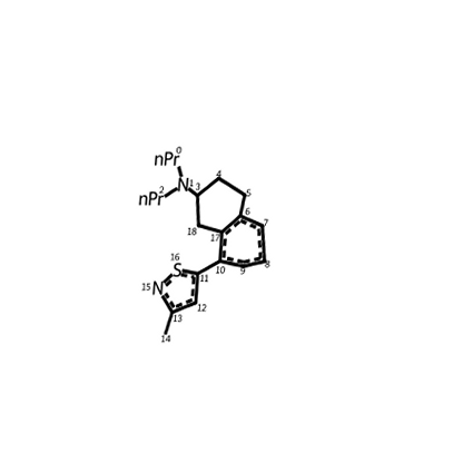 CCCN(CCC)C1CCc2cccc(-c3cc(C)ns3)c2C1